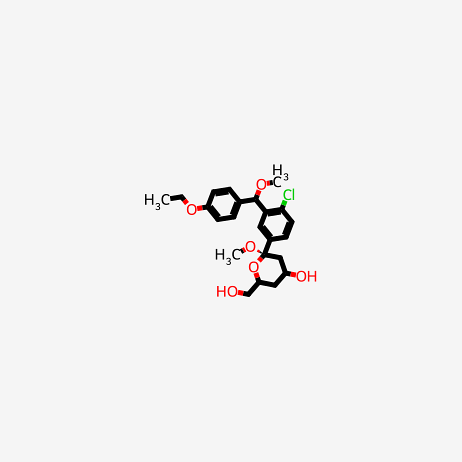 CCOc1ccc(C(OC)c2cc([C@@]3(OC)CC(O)CC(CO)O3)ccc2Cl)cc1